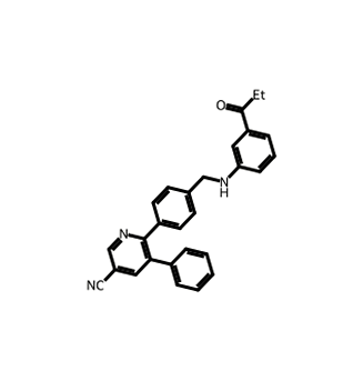 CCC(=O)c1cccc(NCc2ccc(-c3ncc(C#N)cc3-c3ccccc3)cc2)c1